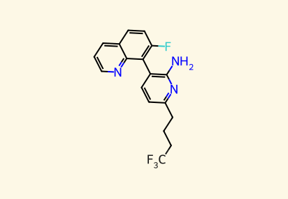 Nc1nc(CCCC(F)(F)F)ccc1-c1c(F)ccc2cccnc12